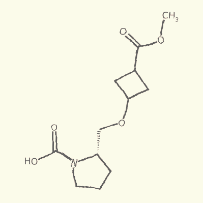 COC(=O)C1CC(OC[C@@H]2CCCN2C(=O)O)C1